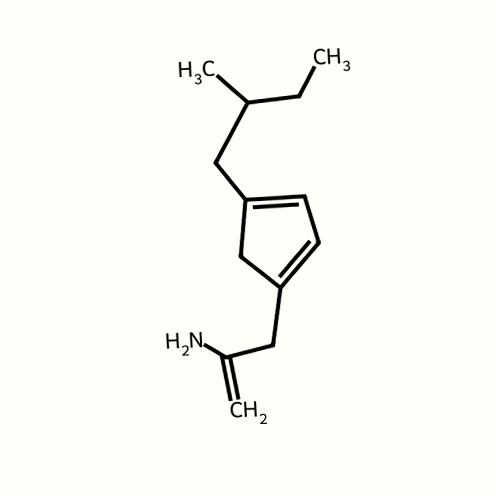 C=C(N)CC1=CC=C(CC(C)CC)C1